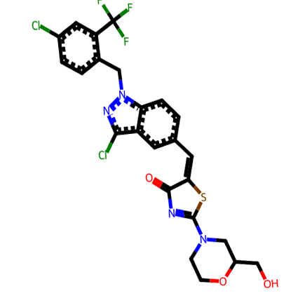 O=C1N=C(N2CCOC(CO)C2)SC1=Cc1ccc2c(c1)c(Cl)nn2Cc1ccc(Cl)cc1C(F)(F)F